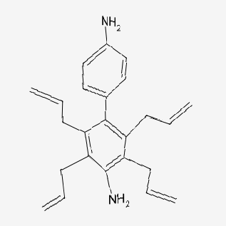 C=CCc1c(N)c(CC=C)c(CC=C)c(-c2ccc(N)cc2)c1CC=C